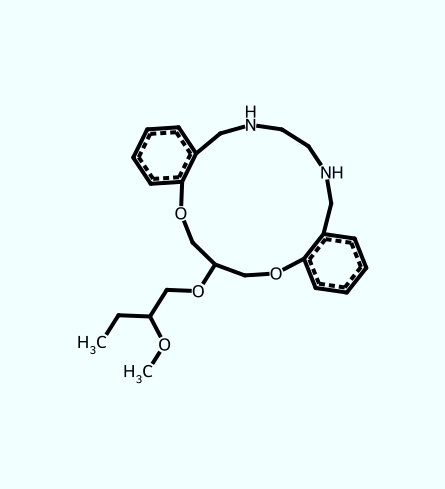 CCC(COC1COc2ccccc2CNCCNCc2ccccc2OC1)OC